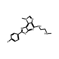 CNCCNc1nc2sc(-c3ccc(F)cc3)nc2c2c1ncn2C